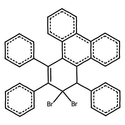 BrC1(Br)C(c2ccccc2)=C(c2ccccc2)c2c(c3ccccc3c3ccccc23)C1c1ccccc1